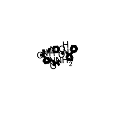 CC(N)C(=O)Nc1cccc(C(=O)N(C)CCN2CCC(OC(=O)Nc3ccccc3-c3ccccc3)CC2)c1